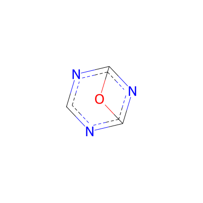 c1nc2nc(n1)O2